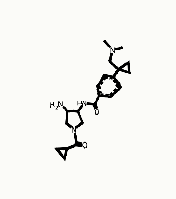 CN(C)CC1(c2ccc(C(=O)NC3CN(C(=O)C4CC4)CC3N)cc2)CC1